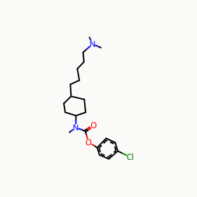 CN(C)CCCCCC1CCC(N(C)C(=O)Oc2ccc(Cl)cc2)CC1